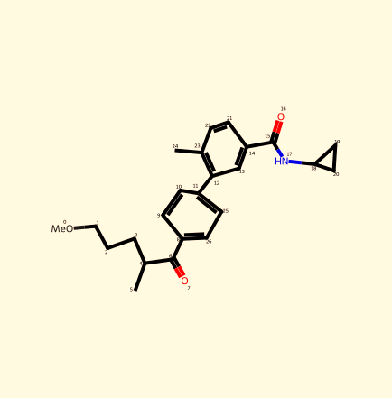 COCCCC(C)C(=O)c1ccc(-c2cc(C(=O)NC3CC3)ccc2C)cc1